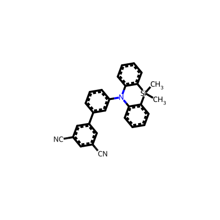 C[Si]1(C)c2ccccc2N(c2cccc(-c3cc(C#N)cc(C#N)c3)c2)c2ccccc21